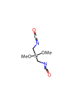 CO[Si](CN=C=O)(CN=C=O)OC